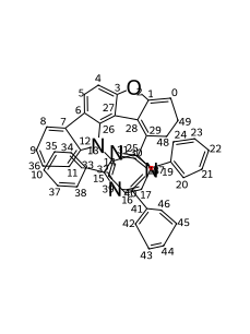 C1=c2oc3ccc4c5ccccc5n(-c5cccc(-c6ccccc6)c5)c4c3c2=C(c2nc(-c3ccccc3)nc(-c3ccccc3)n2)CC1